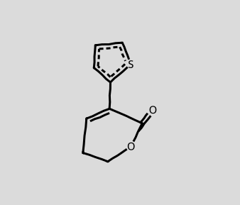 O=C1OCCC=C1c1cccs1